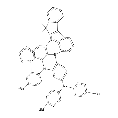 Cc1cc2c3c(c1)-n1c4c(c5cccc(c51)B3c1ccc(N(c3ccc(C(C)(C)C)cc3)c3ccc(C(C)(C)C)cc3)cc1N2c1ccc(C(C)(C)C)cc1-c1ccccc1)-c1ccccc1C4(C)C